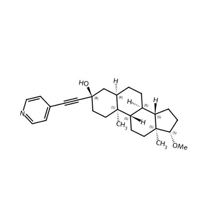 CO[C@H]1CC[C@H]2[C@@H]3CC[C@@H]4C[C@@](O)(C#Cc5ccncc5)CC[C@]4(C)[C@H]3CC[C@]12C